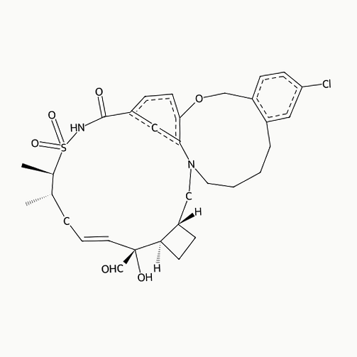 C[C@@H]1[C@@H](C)C/C=C/[C@](O)(C=O)[C@@H]2CC[C@H]2CN2CCCCc3cc(Cl)ccc3COc3ccc(cc32)C(=O)NS1(=O)=O